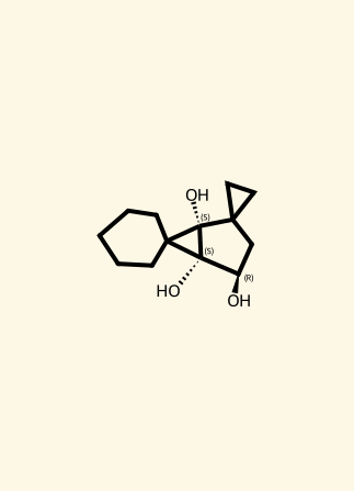 O[C@@H]1CC2(CC2)[C@]2(O)C3(CCCCC3)[C@]12O